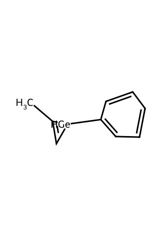 C[C]1=[CH][GeH]1[c]1ccccc1